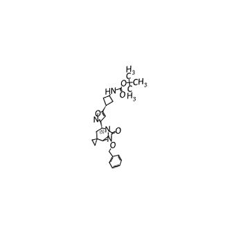 CC(C)(C)OC(=O)N[C@H]1C[C@@H](c2cc([C@@H]3CC4(CC4)C4CN3C(=O)N4OCc3ccccc3)no2)C1